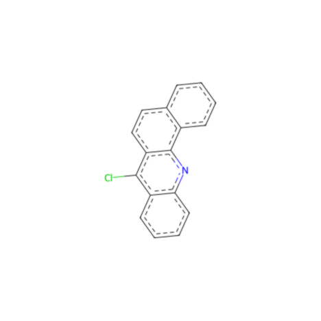 Clc1c2ccccc2nc2c1ccc1ccccc12